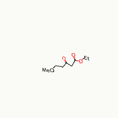 CCOC(=O)CC(=O)CCOC